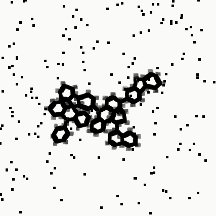 c1ccc(N2c3ccccc3C3(c4ccccc4-c4ccc(N(c5ccc(-c6ccc7c(c6)oc6ccccc67)cc5)c5ccccc5-c5ccccc5-c5cccc6ccccc56)cc43)c3ccccc32)cc1